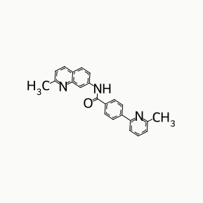 Cc1cccc(-c2ccc(C(=O)Nc3ccc4ccc(C)nc4c3)cc2)n1